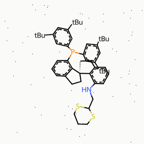 CC(C)(C)c1cc(P(c2cc(C(C)(C)C)cc(C(C)(C)C)c2)c2cccc3c2[C@]2(CCc4cccc(NCC5SCCCS5)c42)CC3)cc(C(C)(C)C)c1